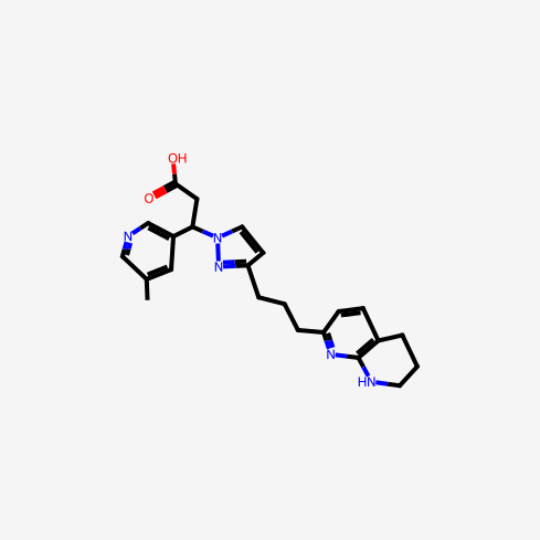 Cc1cncc(C(CC(=O)O)n2ccc(CCCc3ccc4c(n3)NCCC4)n2)c1